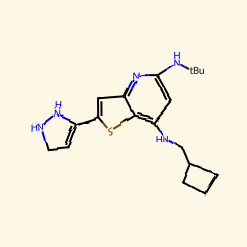 CC(C)(C)Nc1cc(NCC2CCC2)c2sc(C3=CCNN3)cc2n1